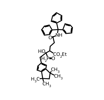 CCOC(=O)C(CCC(=O)NC(c1ccccc1)(c1ccccc1)c1ccccc1)C(O)(Cc1ccc2c(c1)C(C)(C)CC2(C)C)[PH2]=O